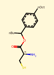 CCCCCCCCc1ccc(C(CCCC)OC(=O)[C@@H](N)CS)cc1